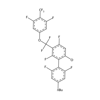 CCCCc1cc(F)c(-c2c([O])cc(F)c(C(F)(F)Oc3cc(F)c(C(F)(F)F)c(F)c3)c2F)c(F)c1